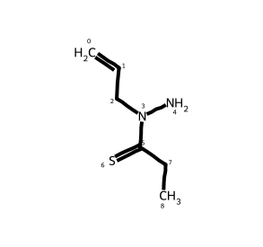 C=CCN(N)C(=S)CC